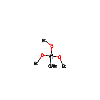 CC[O][Hf]([O]C)([O]CC)[O]CC